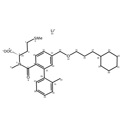 CSCC[C@@H](C(=O)[O-])N(C)C(=O)c1ccc(COCCCC2CCCCC2)cc1-c1ccccc1C.[Li+]